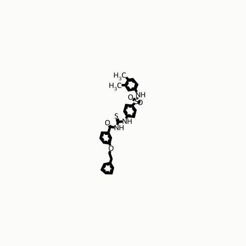 Cc1ccc(NS(=O)(=O)c2ccc(NC(=S)NC(=O)c3cccc(OCCc4ccccc4)c3)cc2)cc1C